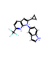 FC(F)(F)c1ccc2cc(C3CC3)n(-c3ccc4[nH]ccc4c3)c2n1